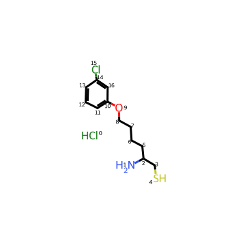 Cl.NC(CS)CCCCOc1cccc(Cl)c1